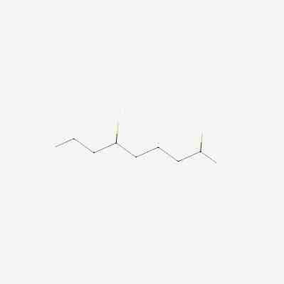 CC(=O)CCC(S)CCCC(S)C(=O)O